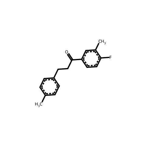 Cc1ccc(CCC(=O)c2ccc(F)c(C)c2)cc1